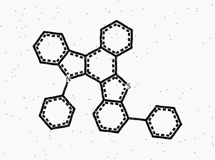 c1ccc(-c2cccc3c2sc2c4ccccc4c4c5ccccc5n(-c5ccccc5)c4c32)cc1